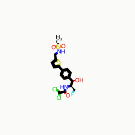 CS(=O)(=O)NCc1ccc(-c2ccc([C@@H](O)[C@@H](CF)NC(=O)C(Cl)Cl)cc2)s1